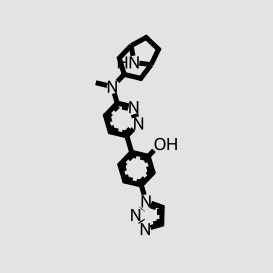 CN(c1ccc(-c2ccc(-n3ccnn3)cc2O)nn1)C1CC2CCC(C1)N2